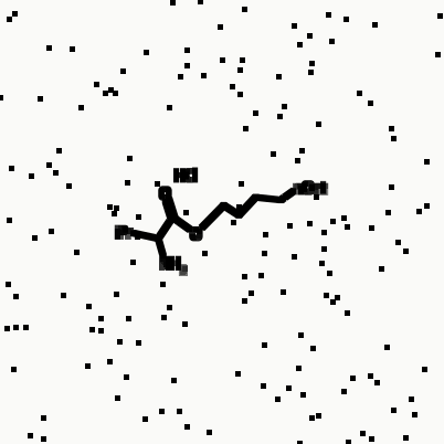 CCCCCCCCCCCCOC(=O)C(N)C(C)C.Cl